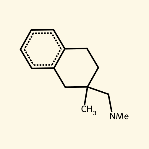 CNCC1(C)CCc2ccccc2C1